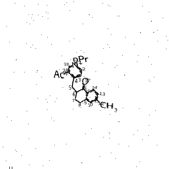 CCC[n+]1ccc(CC2CCc3cc(C)ccc3C2=O)c(C(C)=O)c1